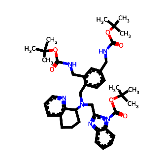 CC(C)(C)OC(=O)NCc1ccc(CN(Cc2nc3ccccc3n2C(=O)OC(C)(C)C)C2CCCc3cccnc32)c(CNC(=O)OC(C)(C)C)c1